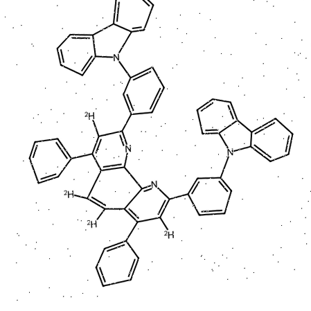 [2H]c1c(-c2cccc(-n3c4ccccc4c4ccccc43)c2)nc2c(c([2H])c([2H])c3c(-c4ccccc4)c([2H])c(-c4cccc(-n5c6ccccc6c6ccccc65)c4)nc32)c1-c1ccccc1